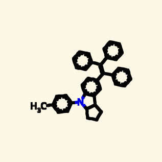 Cc1ccc(N2c3ccc(C(=C(c4ccccc4)c4ccccc4)c4ccccc4)cc3C3CCCC32)cc1